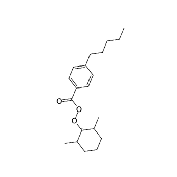 CCCCCc1ccc(C(=O)OO[C]2C(C)CCCC2C)cc1